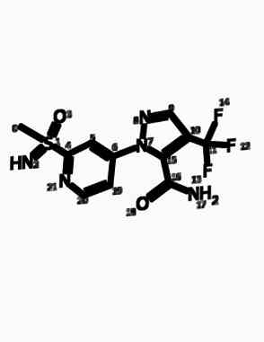 CS(=N)(=O)c1cc(-n2ncc(C(F)(F)F)c2C(N)=O)ccn1